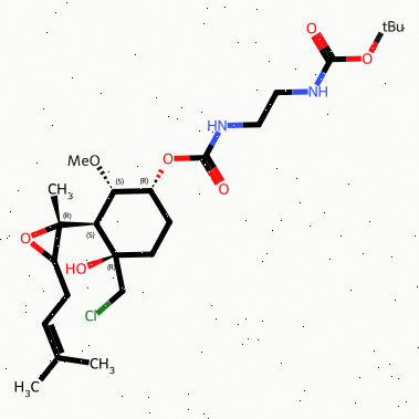 CO[C@@H]1[C@H](OC(=O)NCCNC(=O)OC(C)(C)C)CC[C@](O)(CCl)[C@H]1[C@@]1(C)OC1CC=C(C)C